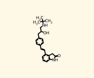 CC(C)(C)NCC(O)Cc1ccc(C=Cc2cccc3c2CC(=O)N3)cc1